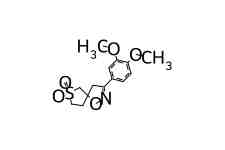 COc1ccc(C2=NOC3(CCS(=O)(=O)C3)C2)cc1OC